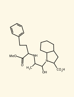 COC(=O)C(CCc1ccccc1)NC(C)C(O)N1C(C(=O)O)CC2CCCCC21